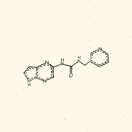 O=C(NCc1cccnc1)Nc1cnc2[nH]ccc2n1